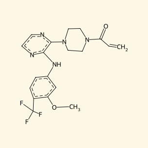 C=CC(=O)N1CCN(c2nccnc2Nc2ccc(C(F)(F)F)c(OC)c2)CC1